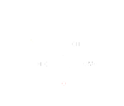 COC(=O)C(C)(C)c1cccs1